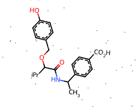 CC(NC(=O)C(OCc1ccc(O)cc1)C(C)C)c1ccc(C(=O)O)cc1